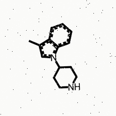 Cc1cn(C2CCNCC2)c2ccccc12